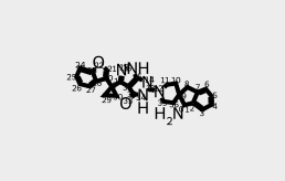 N[C@@H]1c2ccccc2CC12CCN(c1nc3[nH]nc(C4(c5coc6ccccc56)CC4)c3c(=O)[nH]1)CC2